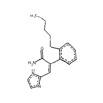 CCCCCc1ccccc1C(=Cc1ncc[nH]1)C(N)=O